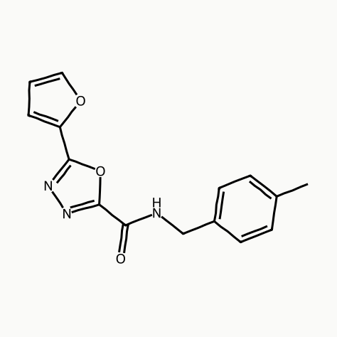 Cc1ccc(CNC(=O)c2nnc(-c3ccco3)o2)cc1